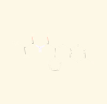 C=C(C)C(=O)NC(=O)/C(=C/c1ccc(Cl)cc1)c1cccs1